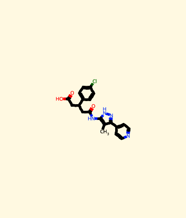 Cc1c(-c2ccncc2)n[nH]c1NC(=O)CC(CC(=O)O)c1ccc(Cl)cc1